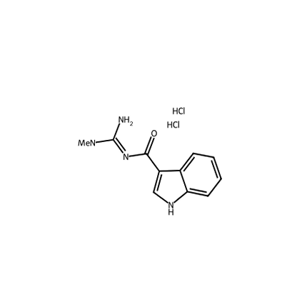 CNC(N)=NC(=O)c1c[nH]c2ccccc12.Cl.Cl